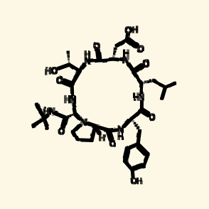 CC(C)C[C@@H]1NC(=O)[C@H](Cc2ccc(O)cc2)NC(=O)[C@@H]2CCCN2[C@H](C(=O)NC(C)(C)C)NC(=O)[C@@H]([C@@H](C)O)NC(=O)[C@H](CC(=O)O)NC1=O